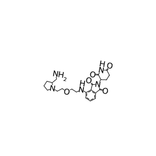 NCC1CCCN1CCOCCNc1cccc2c1C(=O)N(C1CCC(=O)NC1=O)C2=O